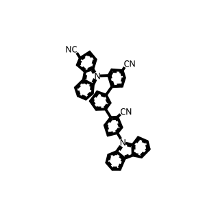 N#Cc1ccc(-c2cccc(-c3ccc(-n4c5ccccc5c5ccccc54)cc3C#N)c2)c(-n2c3ccccc3c3cc(C#N)ccc32)c1